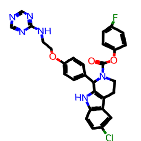 O=C(Oc1ccc(F)cc1)N1CCc2c([nH]c3ccc(Cl)cc23)C1c1ccc(OCCNc2ncncn2)cc1